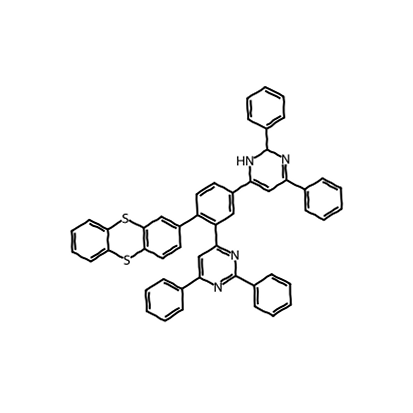 C1=C(c2ccc(-c3ccc4c(c3)Sc3ccccc3S4)c(-c3cc(-c4ccccc4)nc(-c4ccccc4)n3)c2)NC(c2ccccc2)N=C1c1ccccc1